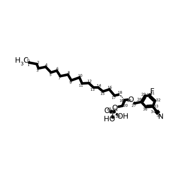 CCCCCCCCCCCCCCCCCCC[C@@H](COP(=O)(O)O)OCc1cc(F)cc(C#N)c1